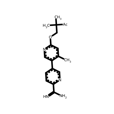 CC(=O)C(C)(C)COc1cc(C)c(-c2ccc(C(=N)N)nc2)cn1